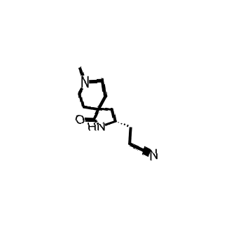 CN1CCC2(CC1)C[C@H](CCC#N)NC2=O